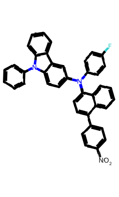 O=[N+]([O-])c1ccc(-c2ccc(N(c3ccc(F)cc3)c3ccc4c(c3)c3ccccc3n4-c3ccccc3)c3ccccc23)cc1